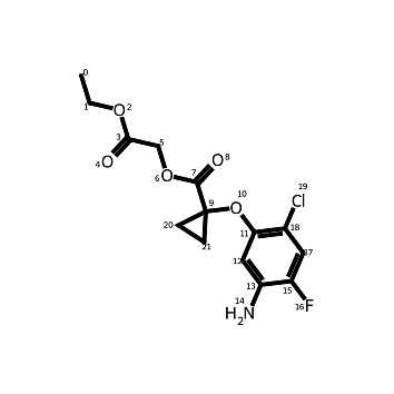 CCOC(=O)COC(=O)C1(Oc2cc(N)c(F)cc2Cl)CC1